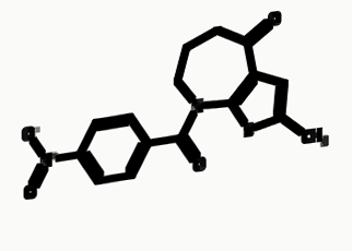 Cc1cc2c(s1)N(C(=O)c1ccc([N+](=O)[O-])cc1)CCCC2=O